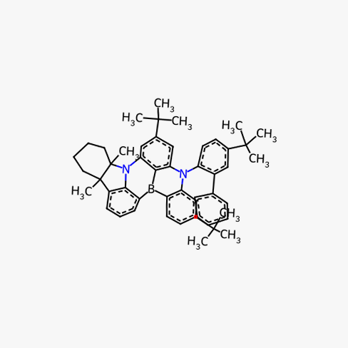 CC(C)(C)c1ccc(N2c3cc(C(C)(C)C)ccc3B3c4cccc5c4N(c4cc(C(C)(C)C)cc2c43)C2(C)CCCCC52C)c(-c2ccccc2)c1